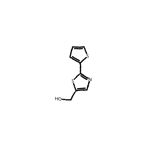 OCc1cnc(-c2cccs2)s1